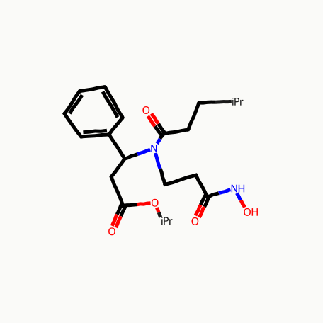 CC(C)CCC(=O)N(CCC(=O)NO)C(CC(=O)OC(C)C)c1ccccc1